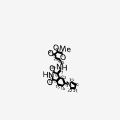 COc1coc(CN/C=C2\C(=O)NC(=O)c3ccc(-n4cccc4)cc32)cc1=O